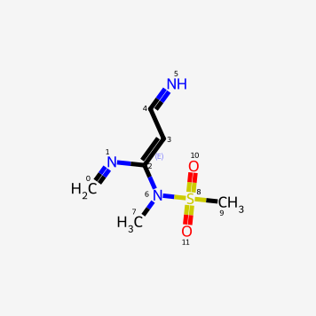 C=N/C(=C\C=N)N(C)S(C)(=O)=O